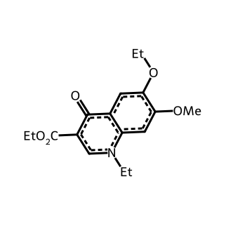 CCOC(=O)c1cn(CC)c2cc(OC)c(OCC)cc2c1=O